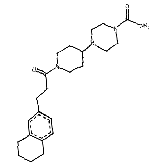 NC(=O)N1CCN(C2CCN(C(=O)[CH]Cc3ccc4c(c3)CCCC4)CC2)CC1